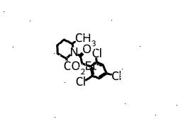 CCOC(=O)C1CCCC(C)N1C(=O)Cc1c(Cl)cc(Cl)cc1Cl